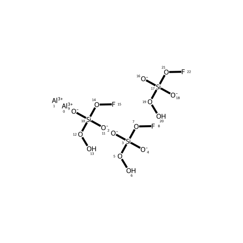 [Al+3].[Al+3].[O-][Si]([O-])(OO)OF.[O-][Si]([O-])(OO)OF.[O-][Si]([O-])(OO)OF